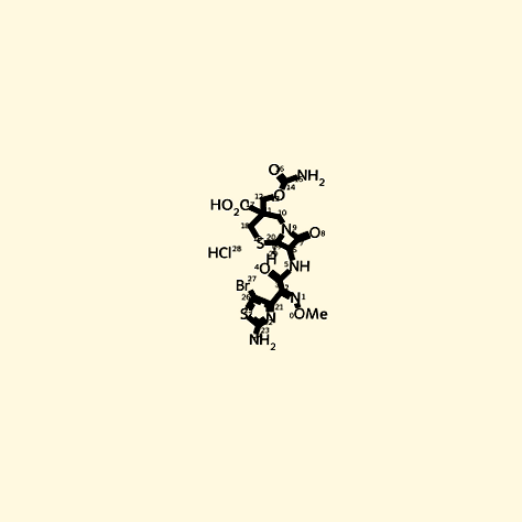 CON=C(C(=O)NC1C(=O)N2CC(COC(N)=O)(C(=O)O)CS[C@H]12)c1nc(N)sc1Br.Cl